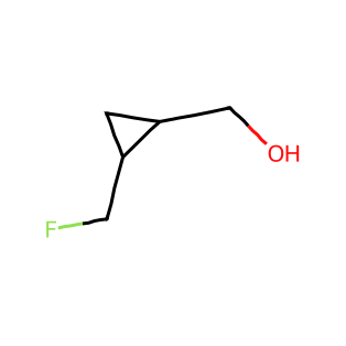 OCC1CC1CF